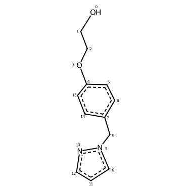 OCCOc1ccc(Cn2cccn2)cc1